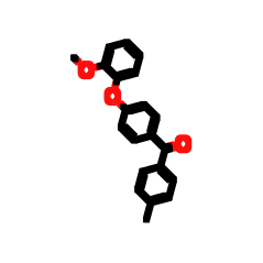 COc1ccccc1Oc1ccc(C(=O)c2ccc(C)cc2)cc1